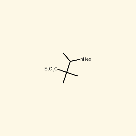 CCCCCCC(C)C(C)(C)C(=O)OCC